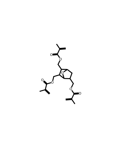 C=C(C)C(=O)OCC1CC2OC1C(COC(=O)C(=C)C)C2COC(=O)C(=C)C